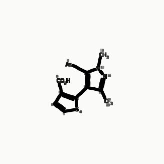 CC(=O)c1c(-c2sccc2C(=O)O)c(C(F)(F)F)nn1C